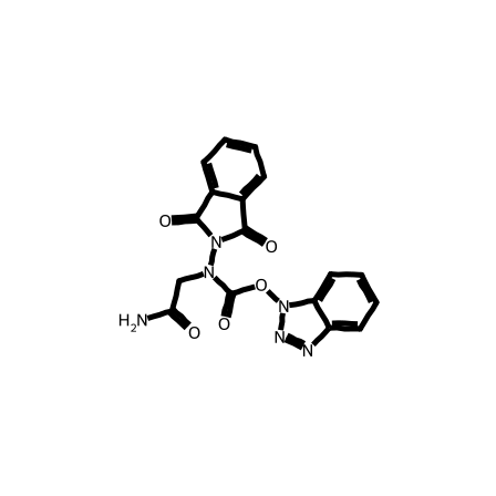 NC(=O)CN(C(=O)On1nnc2ccccc21)N1C(=O)c2ccccc2C1=O